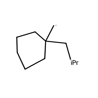 [CH2]C1(CC(C)C)CCCCC1